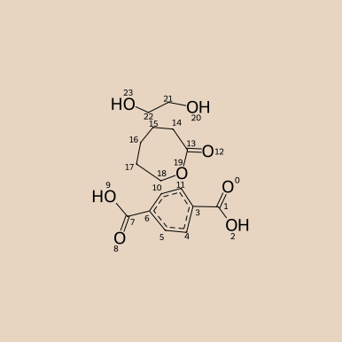 O=C(O)c1ccc(C(=O)O)cc1.O=C1CCCCCO1.OCCO